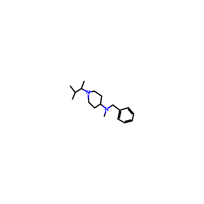 CC(C)C(C)N1CCC(N(C)Cc2ccccc2)CC1